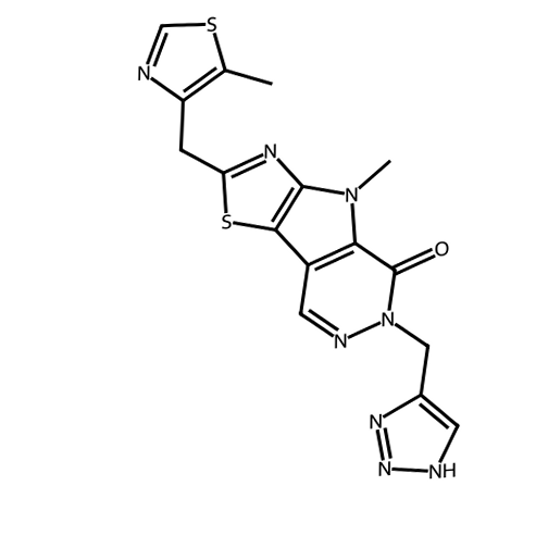 Cc1scnc1Cc1nc2c(s1)c1cnn(Cc3c[nH]nn3)c(=O)c1n2C